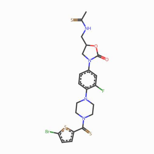 CC(=S)NCC1CN(c2ccc(N3CCN(C(=S)c4ccc(Br)s4)CC3)c(F)c2)C(=O)O1